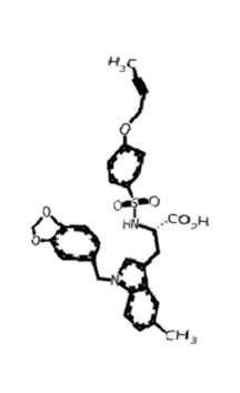 CC#CCOc1ccc(S(=O)(=O)N[C@@H](Cc2cn(Cc3ccc4c(c3)OCO4)c3ccc(C)cc23)C(=O)O)cc1